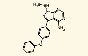 BBn1nc(-c2ccc(Oc3ccccc3)cc2)c2c(N)ncnc21